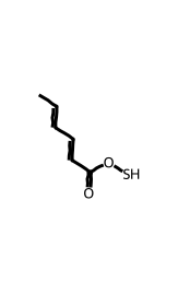 C/C=C/C=C/C(=O)OS